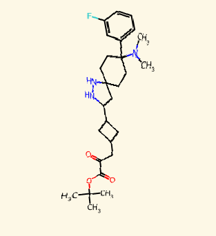 CN(C)C1(c2cccc(F)c2)CCC2(CC1)CC(C1CC(CC(=O)C(=O)OC(C)(C)C)C1)NN2